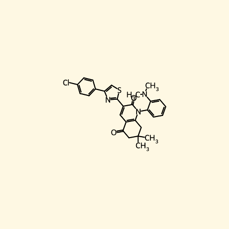 CN(C)c1ccccc1-n1c2c(cc(-c3nc(-c4ccc(Cl)cc4)cs3)c1=O)C(=O)CC(C)(C)C2